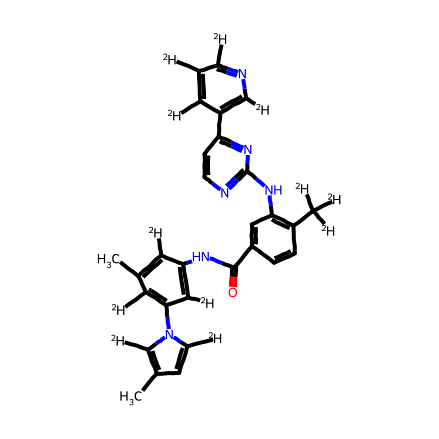 [2H]c1nc([2H])c(-c2ccnc(Nc3cc(C(=O)Nc4c([2H])c(C)c([2H])c(-n5c([2H])cc(C)c5[2H])c4[2H])ccc3C([2H])([2H])[2H])n2)c([2H])c1[2H]